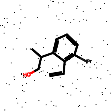 [CH2]C(CO)c1cccc(C(C)C)c1C=C